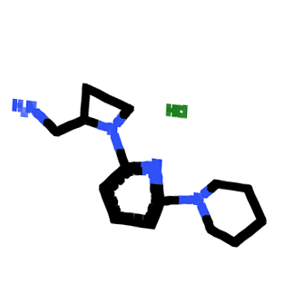 Cl.NCC1CCN1c1cccc(N2CCCCC2)n1